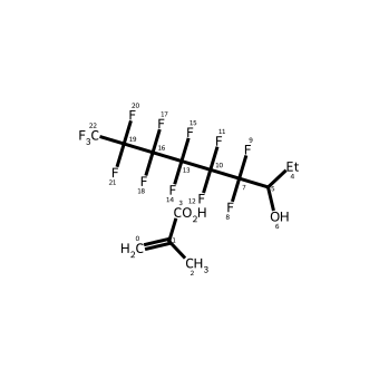 C=C(C)C(=O)O.CCC(O)C(F)(F)C(F)(F)C(F)(F)C(F)(F)C(F)(F)C(F)(F)F